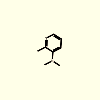 Cc1nc[c]cc1N(C)C